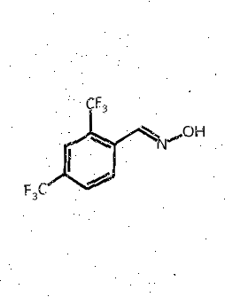 ON=Cc1ccc(C(F)(F)F)cc1C(F)(F)F